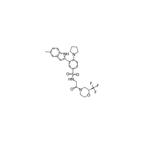 Cc1ccc2[nH]c(-c3cc(S(=O)(=O)NCC(=O)N4CCO[C@H](C(F)(F)F)C4)ccc3N3CCCC3)cc2c1